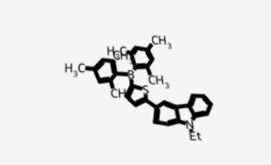 CCn1c2ccccc2c2cc(-c3ccc(B(c4c(C)cc(C)cc4C)c4c(C)cc(C)cc4C)s3)ccc21